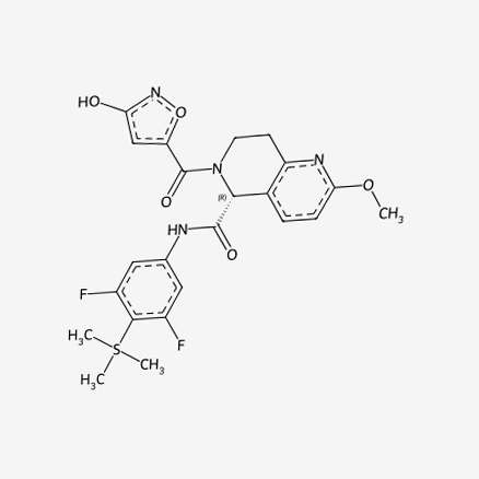 COc1ccc2c(n1)CCN(C(=O)c1cc(O)no1)[C@H]2C(=O)Nc1cc(F)c(S(C)(C)C)c(F)c1